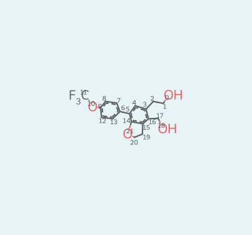 OCCc1cc(-c2ccc(OC(F)(F)F)cc2)c2c(c1CO)CCO2